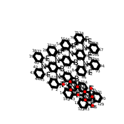 Fc1cccc(F)c1N1c2cc3c(cc2B2c4cc5c(cc4N(c4c(F)cccc4F)c4cc(N(c6ccccc6)c6ccccc6)cc1c42)N(c1c(F)cccc1F)c1cc(N(c2c(F)cccc2F)c2c(F)cccc2F)cc2c1B5c1ccccc1N2c1c(F)cccc1F)B1c2ccccc2N(c2c(F)cccc2F)c2cc(N(c4c(F)cccc4F)c4c(F)cccc4F)cc(c21)N3c1c(F)cccc1F